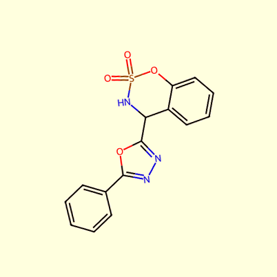 O=S1(=O)NC(c2nnc(-c3ccccc3)o2)c2ccccc2O1